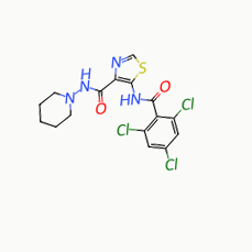 O=C(NN1CCCCC1)c1ncsc1NC(=O)c1c(Cl)cc(Cl)cc1Cl